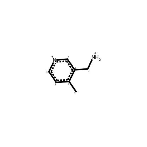 Cc1ccncc1CN